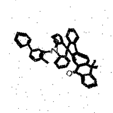 Cc1ccc(-c2ccccc2)cc1N1c2ccccc2C2(c3ccccc3-c3cc4c(cc32)C(=O)c2ccccc2C4(C)C)c2ccccc21